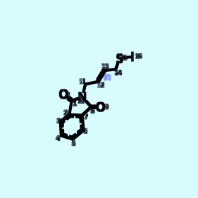 O=C1c2ccccc2C(=O)N1C/C=C/CSI